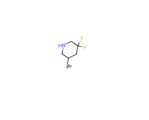 CC(C)C1CNCC(F)(F)C1